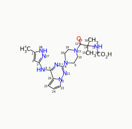 Cc1cc(Nc2nc(N3CCN(C(=O)C(C)(C)NC(=O)O)CC3)nn3cccc23)n[nH]1